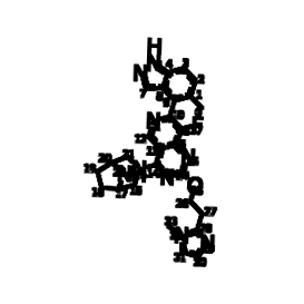 Cc1ccc2[nH]ncc2c1-c1ncc2c(N3CC4CCC(C3)N4)nc(OCCc3nccn3C)nc2c1F